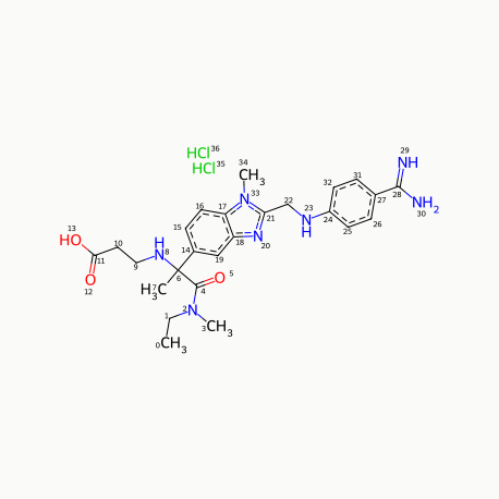 CCN(C)C(=O)C(C)(NCCC(=O)O)c1ccc2c(c1)nc(CNc1ccc(C(=N)N)cc1)n2C.Cl.Cl